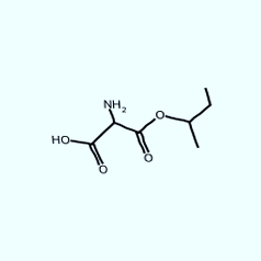 CCC(C)OC(=O)C(N)C(=O)O